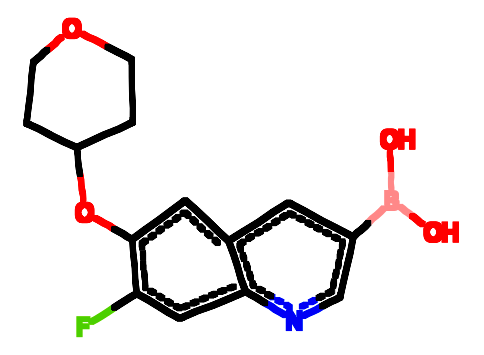 OB(O)c1cnc2cc(F)c(OC3CCOCC3)cc2c1